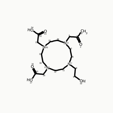 CC(=O)CN1CCN(CCO)CCN(CC(=O)O)CCN(CC(=O)O)CC1